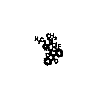 C=C/N=C(/Cl)c1c(C=C)ccn1C(C)c1oc2ccccc2c(=O)c1-c1cccc(F)c1